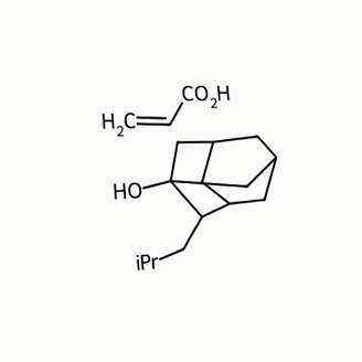 C=CC(=O)O.CC(C)CC1C2CC3CC(C2)CC1(O)C3